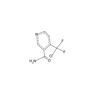 NC(=O)c1cnccc1C(F)(F)Cl